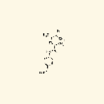 CC(C)[C@H](C)[C@@H](C)N[C@@H](C)C(=O)Nc1ccc(CO)cc1